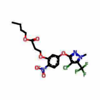 CCCCOC(=O)CCOc1cc(Oc2nn(C)c(C(F)(F)F)c2Cl)ccc1[N+](=O)[O-]